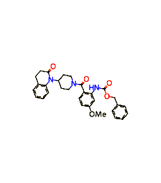 COc1ccc(C(=O)N2CCC(N3C(=O)CCc4ccccc43)CC2)c(NC(=O)OCc2ccccc2)c1